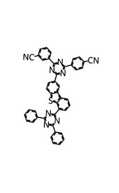 N#Cc1ccc(-c2nc(-c3cccc(C#N)c3)nc(-c3ccc4sc5c(-c6nc(-c7ccccc7)nc(-c7ccccc7)n6)cccc5c4c3)n2)cc1